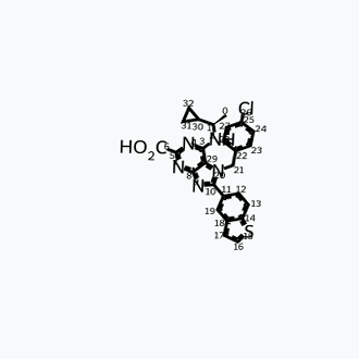 C[C@@H](Nc1nc(C(=O)O)nc2nc(-c3ccc4sccc4c3)n(Cc3ccc(Cl)cc3)c12)C1CC1